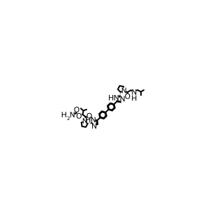 CC(C)CNCC(=O)N1CCC[C@H]1c1ncc(-c2ccc(-c3ccc(-c4cnc([C@@H]5CCCN5C(=O)[C@@H](OC(N)=O)C(C)C)[nH]4)cc3)cc2)[nH]1